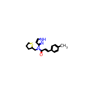 Cc1ccc(/C=C/C(=O)N(CC2CCCS2)c2cc[nH]n2)cc1